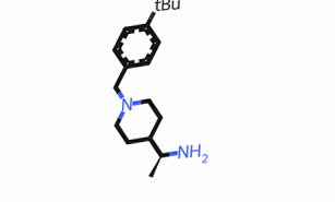 C[C@H](N)C1CCN(Cc2ccc(C(C)(C)C)cc2)CC1